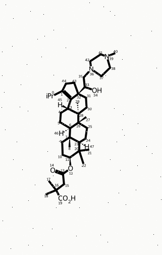 CC(C)C1=C2[C@H]3CC[C@@H]4[C@@]5(C)CC[C@H](OC(=O)CC(C)(C)C(=O)O)C(C)(C)[C@@H]5CC[C@@]4(C)[C@]3(C)CC[C@@]2(C(O)CN2CCN(C)CC2)CC1